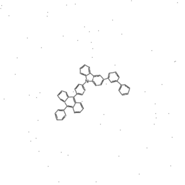 c1ccc(-c2cccc(-c3ccc4c(c3)c3ccccc3n4-c3ccc(-c4c5ccccc5c(-c5ccccc5)c5ccccc45)cc3)c2)cc1